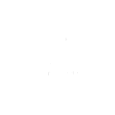 CC([C]=O)c1c(F)cccc1F